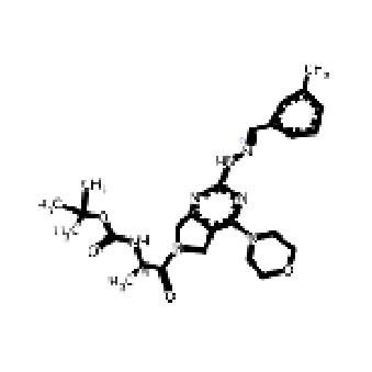 Cc1cccc(/C=N/Nc2nc3c(c(N4CCOCC4)n2)CN(C(=O)[C@@H](C)NC(=O)OC(C)(C)C)C3)c1